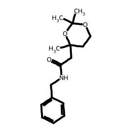 CC1(CC(=O)NCc2ccccc2)CCOC(C)(C)O1